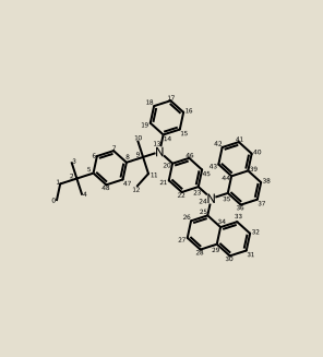 CCC(C)(C)c1ccc(C(C)(CC)N(c2ccccc2)c2ccc(N(c3cccc4ccccc34)c3cccc4ccccc34)cc2)cc1